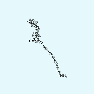 NCCOCCOCCOCCOCCOCCOCCOCCOCCc1cc(Cl)cc(NC(=O)NCc2ccc3c(c2)CN(C2CCC(=O)NC2=O)C3=O)c1